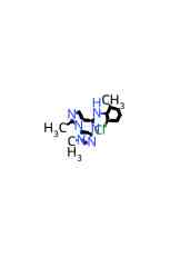 Cc1cccc(Cl)c1Nc1nc2ncn(C)c2n2c(C)ncc12